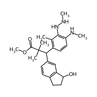 CNNc1c(NC)ccc(C(c2ccc3c(c2)C(O)CC3)C(C)(C)C(=O)OC)c1C